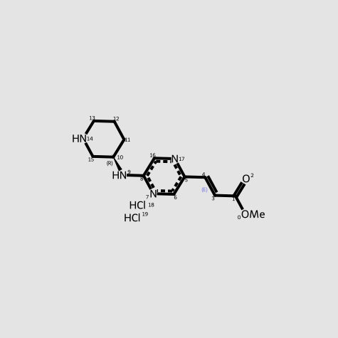 COC(=O)/C=C/c1cnc(N[C@@H]2CCCNC2)cn1.Cl.Cl